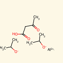 CC(=O)CC(=O)O.CC(C)[O-].CC(C)[O-].[Al+2]